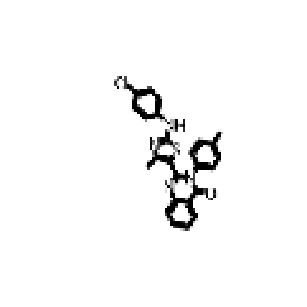 Cc1ccc(-n2c(-c3sc(Nc4ccc(Cl)cc4)nc3C)nc3ccccc3c2=O)cc1